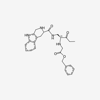 CCC(=O)[C@H](CNC(=O)C1Cc2c([nH]c3ccccc23)CN1)NCC(=O)OCc1ccccc1